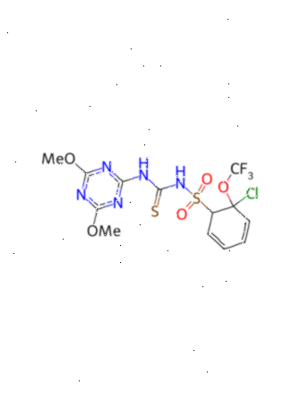 COc1nc(NC(=S)NS(=O)(=O)C2C=CC=CC2(Cl)OC(F)(F)F)nc(OC)n1